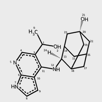 CC(O)c1cnc2[nH]ccc2c1N[C@H]1C2CC3CC1C[C@](O)(C3)C2